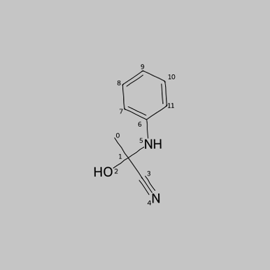 CC(O)(C#N)Nc1ccccc1